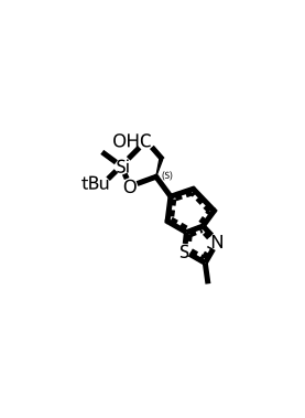 Cc1nc2ccc([C@H](CC=O)O[Si](C)(C)C(C)(C)C)cc2s1